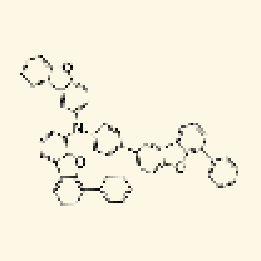 c1ccc(-c2cccc3c2oc2ccc(-c4ccc(N(c5ccc6oc7ccccc7c6c5)c5cccc6c5oc5c(-c7ccccc7)cccc56)cc4)cc23)cc1